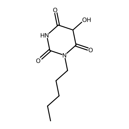 CCCCCN1C(=O)NC(=O)C(O)C1=O